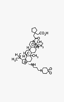 C=C(C)[C@@H]1CC[C@]2(CNCCCN3CCS(=O)(=O)CC3)CC[C@]3(C)[C@H](CC[C@@H]4[C@@]5(C)CCN(C(=O)CC6(CC(=O)O)CCCC6)C(C)(C)[C@@H]5CC[C@]43C)[C@@H]12